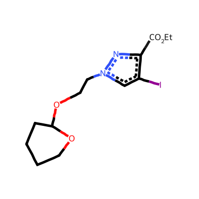 CCOC(=O)c1nn(CCOC2CCCCO2)cc1I